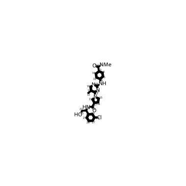 CNC(=O)c1ccc(Nc2ncc(C)c(-n3ccc(C(=O)NC(CO)c4cccc(Cl)c4)c3)n2)cc1